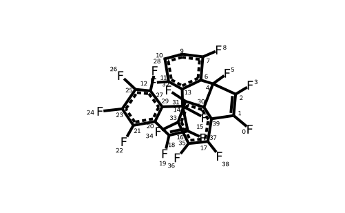 FC1=C(F)C(F)(c2c(F)[c]cc(F)c2C2(F)C(F)=C(F)c3c(F)c(F)c(F)c(F)c32)c2c(F)c(F)c(F)c(F)c21